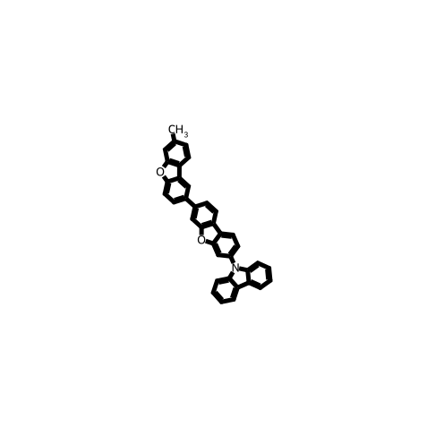 Cc1ccc2c(c1)oc1ccc(-c3ccc4c(c3)oc3cc(-n5c6ccccc6c6ccccc65)ccc34)cc12